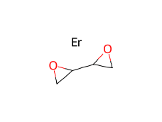 C1OC1C1CO1.[Er]